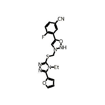 CCn1c(SCN2C=C(c3cc(C#N)ccc3F)ON2)nnc1-c1ccco1